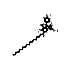 CCCCCCCCCCCCCCCCCC(=O)c1ccc2c(c1N)C(=O)OC21c2ccc(O)cc2Oc2cc(O)ccc21